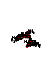 CC(=O)OC1CC2(c3ccccc3)OC1(C)C1CCC(C)=C1C2OC(=O)/C=C/c1ccc(C2CC3C(=C2C)C(OC(=O)/C=C/c2ccc(C4CC5C(=C4C)C(OC(=O)/C=C/c4ccccc4)C4(c6ccccc6)CC(OC(=O)C(C)N)C5(C)O4)cc2)C2(c4ccccc4)CC(OC(=O)CN)C3(C)O2)cc1